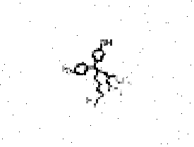 C=C/C(=C\C(CCCCC)=C(/c1ccc(O)cc1)c1ccc(OI)cc1)CC